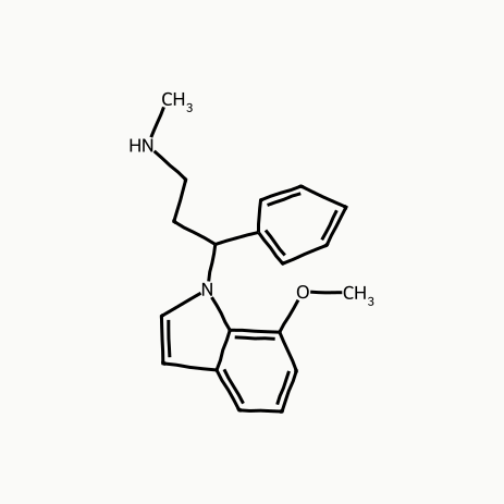 CNCCC(c1ccccc1)n1ccc2cccc(OC)c21